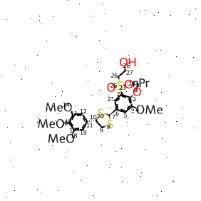 CCCOc1c(OC)cc([C@H]2SC[C@H](c3cc(OC)c(OC)c(OC)c3)S2)cc1S(=O)(=O)CCO